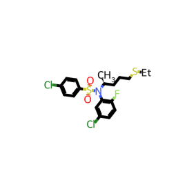 CCSCCC[C@@H](C)N(c1cc(Cl)ccc1F)S(=O)(=O)c1ccc(Cl)cc1